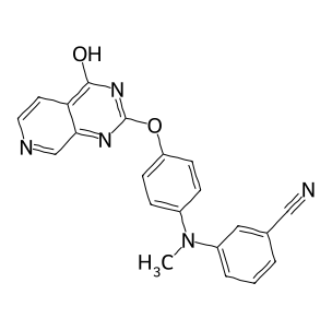 CN(c1ccc(Oc2nc(O)c3ccncc3n2)cc1)c1cccc(C#N)c1